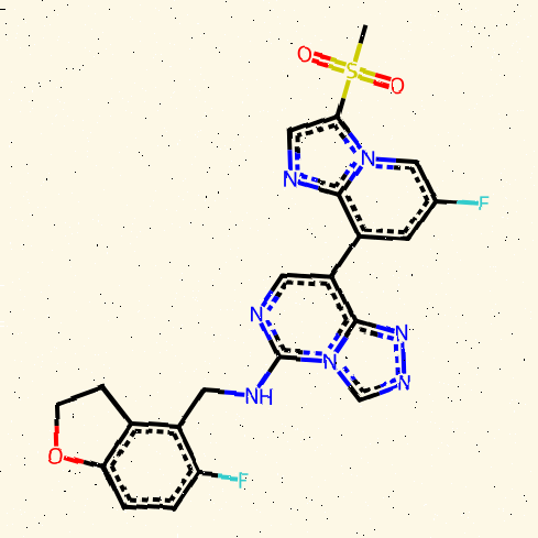 CS(=O)(=O)c1cnc2c(-c3cnc(NCc4c(F)ccc5c4CCO5)n4cnnc34)cc(F)cn12